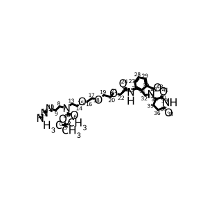 CC(C)(C)OC(=O)N(CCN=[N+]=[N-])CCOCCOCCOCC(=O)Nc1cccc2c1CN(C1CCC(=O)NC1=O)C2=O